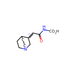 O=C(O)NC(=O)/C=C1\CN2CCC1CC2